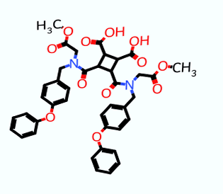 COC(=O)CN(Cc1ccc(Oc2ccccc2)cc1)C(=O)C1C(C(=O)O)C(C(=O)O)C1C(=O)N(CC(=O)OC)Cc1ccc(Oc2ccccc2)cc1